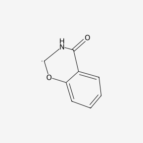 O=C1N[CH]Oc2ccccc21